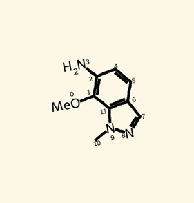 COc1c(N)ccc2cnn(C)c12